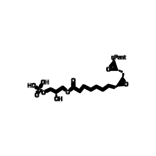 CCCCC[C@H]1O[C@H]1C[C@@H]1O[C@@H]1CCCCCCCC(=O)OC[C@H](O)COP(=O)(O)O